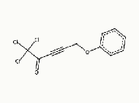 O=C(C#CCOc1ccccc1)C(Cl)(Cl)Cl